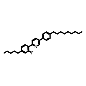 CCCCCCCCCc1ccc(-c2ccc(-c3ccc(CCCCC)cc3F)nc2)cc1